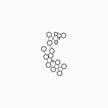 c1ccc(-c2ccc(-c3ccccc3N(c3ccc4cc(-c5ccc6c(c5)C5(c7ccccc7-6)c6ccccc6-n6c7ccccc7c7cccc5c76)ccc4c3)c3cccc4c3-c3ccccc3C43c4ccccc4-c4ccccc43)cc2)cc1